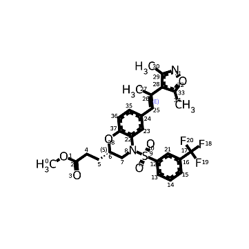 COC(=O)CC[C@H]1CN(S(=O)(=O)c2cccc(C(F)(F)F)c2)c2cc(/C=C(\C)c3c(C)noc3C)ccc2O1